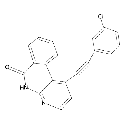 O=c1[nH]c2nccc(C#Cc3cccc(Cl)c3)c2c2ccccc12